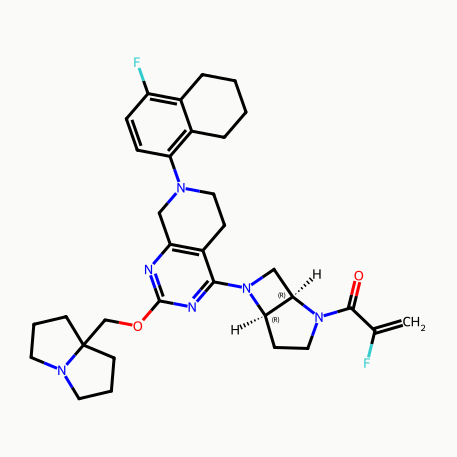 C=C(F)C(=O)N1CC[C@@H]2[C@H]1CN2c1nc(OCC23CCCN2CCC3)nc2c1CCN(c1ccc(F)c3c1CCCC3)C2